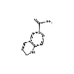 NC(=O)c1ccc2c(c1)C=NCN2